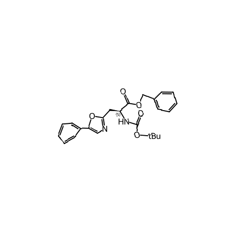 CC(C)(C)OC(=O)N[C@@H](Cc1ncc(-c2ccccc2)o1)C(=O)OCc1ccccc1